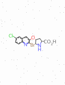 O=C(O)[C@@H]1C[C@@H](Oc2cc3cc(Cl)ccc3nc2Br)CN1